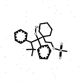 CC(C)(C)C(c1ccccc1)C(O[SiH3])(c1ccccc1)C1(CCOS(C)(=O)=O)CCCCC1